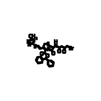 Cc1nnc(SC=CC2=C(C(=O)OC(c3ccccc3)c3ccccc3)N3C(=O)C(NC(=O)CC(=O)CBr)C3SC2)s1